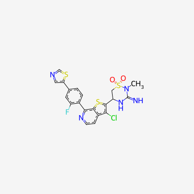 CN1C(=N)NC(c2sc3c(-c4ccc(-c5cncs5)cc4F)nccc3c2Cl)CS1(=O)=O